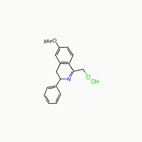 COc1ccc2c(c1)CC(c1ccccc1)N=C2CCl.Cl